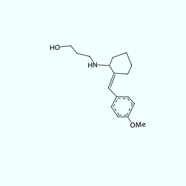 COc1ccc(C=C2CCCCC2NCCCO)cc1